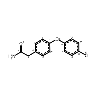 NC(=O)Cc1ccc(Oc2ccc(Cl)cc2)cc1